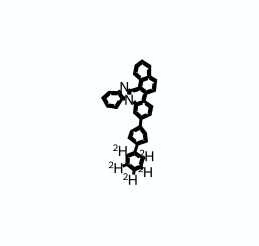 [2H]c1c([2H])c([2H])c(-c2ccc(-c3ccc4c5ccc6ccccc6c5c5nc6ccccc6n5c4c3)cc2)c([2H])c1[2H]